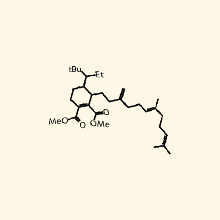 C=C(CC/C=C(\C)CCC=C(C)C)CCC1C(C(=O)OC)=C(C(=O)OC)CCC1C(CC)C(C)(C)C